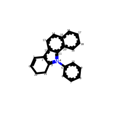 C1=Cc2c(n(-c3ccccc3)c3c2ccc2ccccc23)CC1